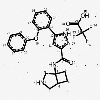 O=C(NC12CCC1CNC2)c1cc(-c2ccccc2Oc2ccccc2)[nH]n1.O=C(O)C(F)(F)F